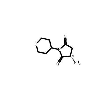 N[C@H]1CC(=O)N(C2CCOCC2)C1=O